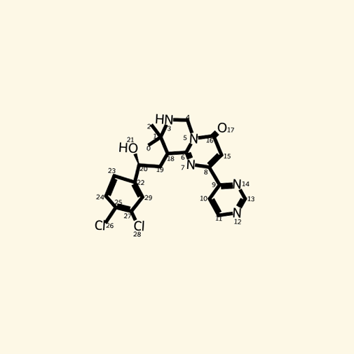 CC1(C)NCn2c(nc(-c3ccncn3)cc2=O)C1C[C@H](O)c1ccc(Cl)c(Cl)c1